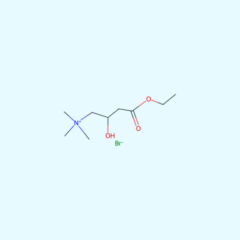 CCOC(=O)CC(O)C[N+](C)(C)C.[Br-]